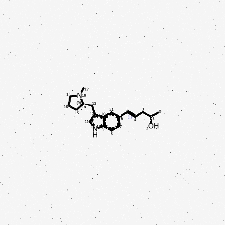 CC(O)C/C=C/c1ccc2[nH]cc(C[C@H]3CCCN3C)c2c1